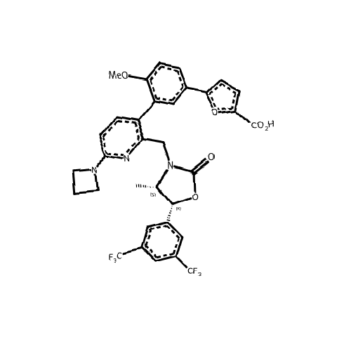 COc1ccc(-c2ccc(C(=O)O)o2)cc1-c1ccc(N2CCC2)nc1CN1C(=O)O[C@H](c2cc(C(F)(F)F)cc(C(F)(F)F)c2)[C@@H]1C